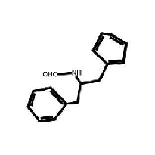 O=CNC(Cc1ccccc1)Cc1ccccc1